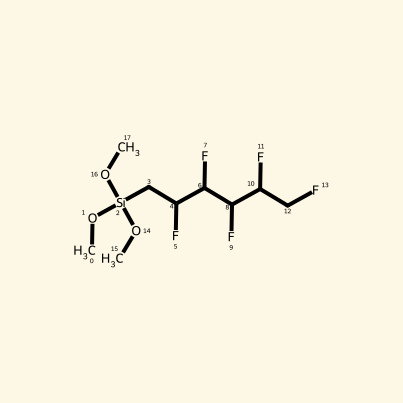 CO[Si](CC(F)C(F)C(F)C(F)CF)(OC)OC